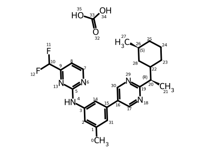 Cc1cc(Nc2nccc(C(F)F)n2)cc(-c2cnc([C@H](C)C3CCC[C@H](C)C3)nc2)c1.O=C(O)O